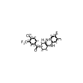 Cc1cc(NC2=C(N)CN(C(=O)c3ccc(Cl)c(C(F)(F)F)c3)CC2)ncc1F